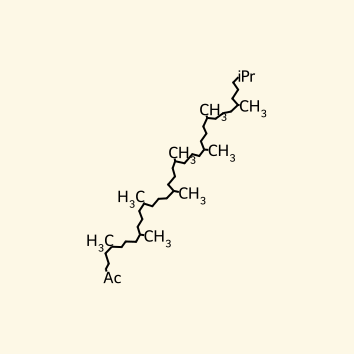 CC(=O)CCCC(C)CCCC(C)CCCC(C)CCCC(C)CCCC(C)CCCC(C)CCCC(C)CCCC(C)CCCC(C)C